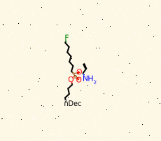 C=CCN.CCCCCCCCCCCCCCOS(=O)(=O)CCCCCCCF